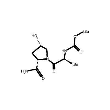 CC(C)(C)OC(=O)N[C@H](C(=O)N1C[C@@H](O)C[C@H]1C(N)=O)C(C)(C)C